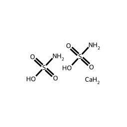 NS(=O)(=O)O.NS(=O)(=O)O.[CaH2]